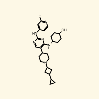 O[C@H]1CC[C@H](Nc2nc(Nc3ccnc(Cl)c3)ncc2C2CCN(C3CC(C4CC4)C3)CC2)CC1